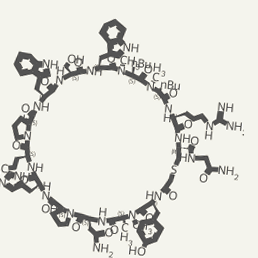 CCCC[C@H]1C(=O)N(C)[C@@H](CCCC)C(=O)N[C@@H](CCCNC(=N)N)C(=O)N[C@H](C(=O)NCC(N)=O)CSCC(=O)N[C@@H](Cc2ccc(O)cc2)C(=O)N(C)[C@@H](C)C(=O)N[C@@H](CC(N)=O)C(=O)N2CCC[C@H]2C(=O)N[C@@H](Cc2cnc[nH]2)C(=O)N[C@@H](CCC(=O)O)C(=O)N2CCC[C@H]2C(=O)N[C@@H](Cc2c[nH]c3ccccc23)C(=O)N[C@@H](CO)C(=O)N[C@@H](Cc2c[nH]c3ccccc23)C(=O)N1C